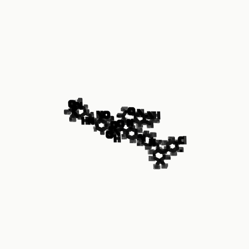 CN1CC(CNc2ccc(S(=O)(=O)NC(=O)c3ccc(N4CCN(CC5=C(c6ccc(Cl)cc6)CC(C)(C)CC5)CC4)cc3N3CCCOc4nc5[nH]ccc5cc43)cc2[N+](=O)[O-])CN(C)P1(C)=O